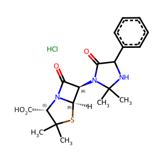 CC1(C)S[C@@H]2[C@H](N3C(=O)C(c4ccccc4)NC3(C)C)C(=O)N2[C@H]1C(=O)O.Cl